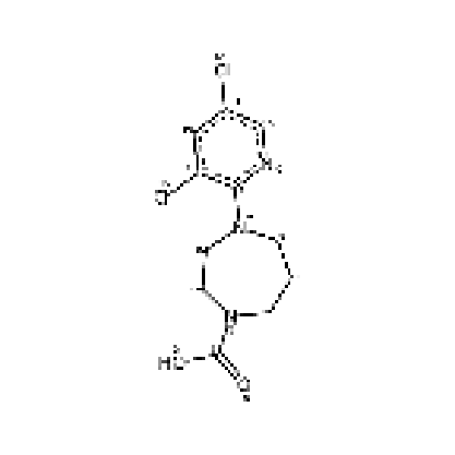 O=C(O)N1CCCN(c2ncc(Cl)cc2Cl)CC1